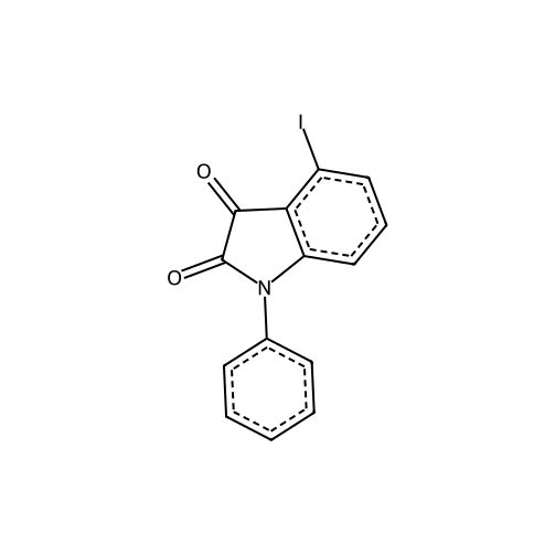 O=C1C(=O)N(c2ccccc2)c2cccc(I)c21